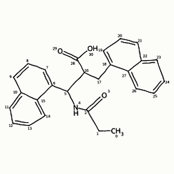 CCC(=O)NC(c1cccc2ccccc12)C(Cc1cccc2ccccc12)C(=O)O